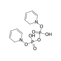 O=P(O)(ON1C=CC=CC1)OP(=O)(O)ON1C=CC=CC1